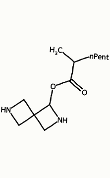 CCCCCC(C)C(=O)OC1NCC12CNC2